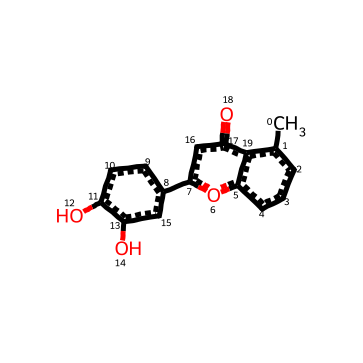 Cc1cccc2oc(-c3ccc(O)c(O)c3)cc(=O)c12